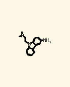 CN(C)CCn1c2ccccc2c2cc(N)ccc21